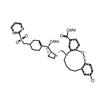 COC(=O)c1ccc2c(c1)N(C[C@@H]1CC[C@H]1[C@H](OC)C1=CCC(CS(=O)(=O)c3ncccn3)CC1)CCCCc1cc(Cl)ccc1CO2